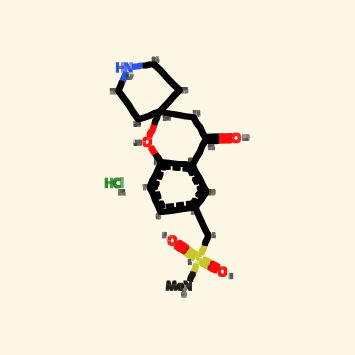 CNS(=O)(=O)Cc1ccc2c(c1)C(=O)CC1(CCNCC1)O2.Cl